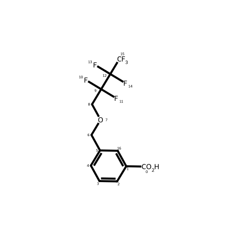 O=C(O)c1cccc(COCC(F)(F)C(F)(F)C(F)(F)F)c1